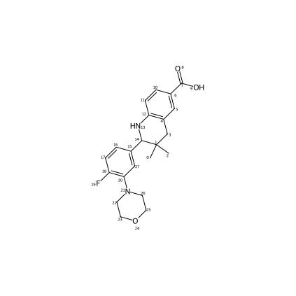 CC1(C)Cc2cc(C(=O)O)ccc2NC1c1ccc(F)c(N2CCOCC2)c1